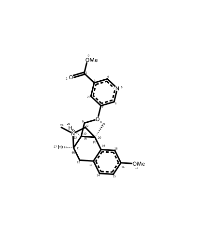 COC(=O)c1cncc(OC[C@@H]2[C@H]3Cc4ccc(OC)cc4[C@]2(C)CN3C)c1